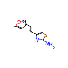 Cc1cc(/C=C/c2csc(N)n2)no1